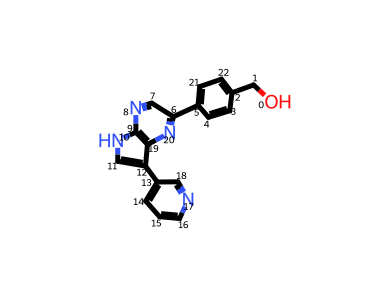 OCc1ccc(-c2cnc3[nH]cc(-c4cccnc4)c3n2)cc1